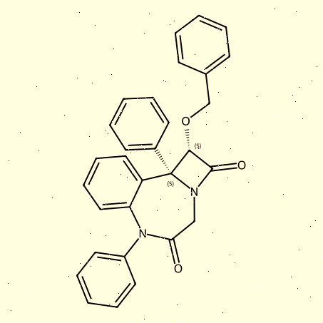 O=C1CN2C(=O)[C@@H](OCc3ccccc3)[C@]2(c2ccccc2)c2ccccc2N1c1ccccc1